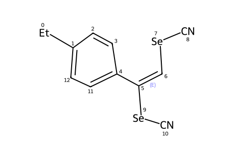 CCc1ccc(/C(=C\[Se]C#N)[Se]C#N)cc1